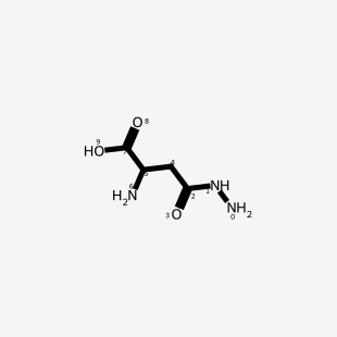 NNC(=O)CC(N)C(=O)O